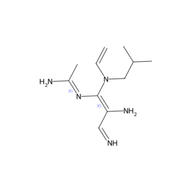 C=CN(CC(C)C)C(/N=C(\C)N)=C(\N)C=N